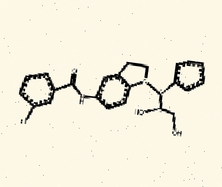 O=C(Nc1ccc2c(c1)CCN2[C@@H](c1ccccc1)[C@H](O)CO)c1cccc(Cl)c1